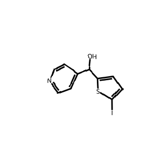 OC(c1ccncc1)c1ccc(I)s1